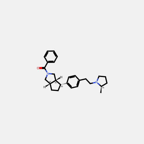 C[C@@H]1CCCN1CCc1ccc([C@@H]2CC[C@@H]3CN(C(=O)c4ccccc4)C[C@@H]32)cc1